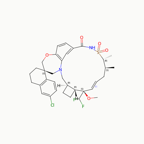 CO[C@]1(C(F)F)/C=C/C[C@H](C)[C@@H](C)S(=O)(=O)NC(=O)c2ccc3c(c2)N(C[C@@H]2CC[C@H]21)C[C@@]1(CCCc2cc(Cl)ccc21)CO3